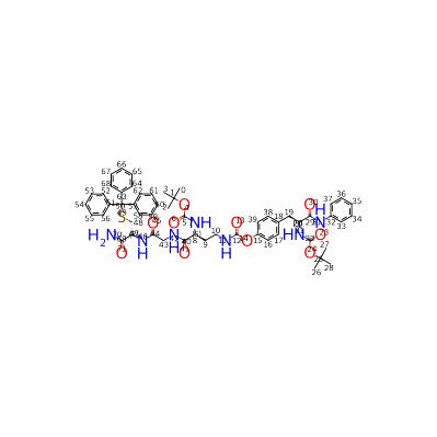 CC(C)(C)OC(=O)N[C@@H](CCNC(=O)Oc1ccc(C[C@H](NC(=O)OC(C)(C)C)C(=O)Nc2ccccc2)cc1)C(=O)NCC(=O)N[C@@H](CSC(c1ccccc1)(c1ccccc1)c1ccccc1)C(N)=O